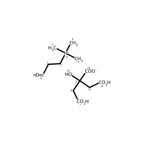 CCCCCCCCCCCC[N+](C)(C)C.O=C(O)CC(O)(CC(=O)O)C(=O)[O-]